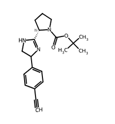 C#Cc1ccc(C2CNC([C@@H]3CCCN3C(=O)OC(C)(C)C)=N2)cc1